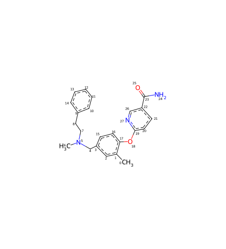 Cc1cc(CN(C)CCc2ccccc2)ccc1Oc1ccc(C(N)=O)cn1